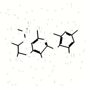 CCC(Nc1cc(C)nc(Oc2c(C)cc(Cl)cc2C)c1O)C(O[SiH](C)C)C(C)(C)C